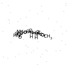 CC1CC2CC(C1)CC(C)(CC(=O)NCCCNC(=O)COc1ccc(-c3cc4c(s3)C(=N)C(=O)NC4=O)cc1)C2